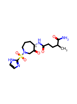 CC(C[CH]C(=O)N[C@H]1CCCN(S(=O)(=O)c2ncc[nH]2)CC1=O)C(N)=O